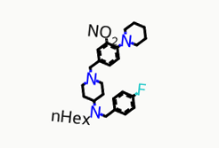 CCCCCCN(Cc1ccc(F)cc1)C1CCN(Cc2ccc(N3CCCCC3)c([N+](=O)[O-])c2)CC1